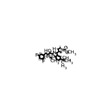 COC(=O)N1CCC(C(NCC(O)C(Cc2cc(F)cc(F)c2)NC(C)=O)c2cccc(C(C)(C)C)c2)C1